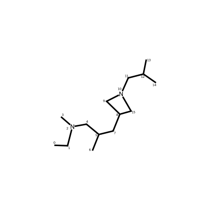 CCN(C)CC(C)CC1CN(CC(C)C)C1